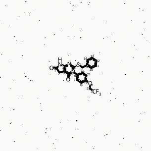 O=C1Cc2c(nc(SCc3ccccc3)n(-c3ccc(OCC(F)(F)F)cc3)c2=O)N1